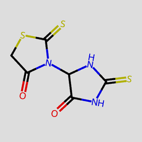 O=C1NC(=S)NC1N1C(=O)CSC1=S